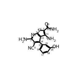 N#Cc1c(N)nc2sc(C(N)=O)c(N)c2c1-c1cccc(O)c1